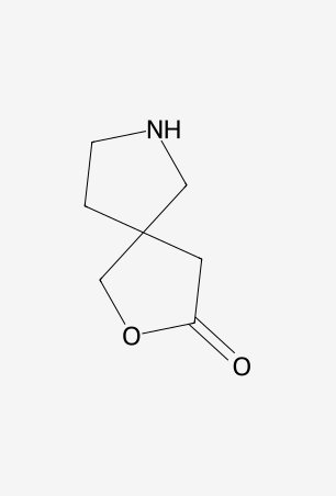 O=C1CC2(CCNC2)CO1